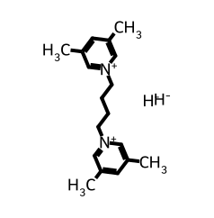 Cc1cc(C)c[n+](CCCC[n+]2cc(C)cc(C)c2)c1.[H-].[H-]